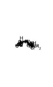 COc1ccc(S(=O)(=O)NCCCC[N+](C)(C)CCNC(=O)c2nc(Cl)c(N)nc2N)c(OC)c1